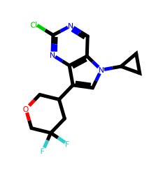 FC1(F)COCC(c2cn(C3CC3)c3cnc(Cl)nc23)C1